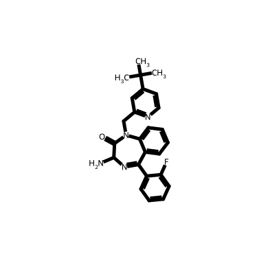 CC(C)(C)c1ccnc(CN2C(=O)C(N)N=C(c3ccccc3F)c3ccccc32)c1